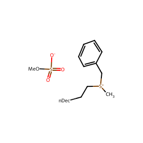 CCCCCCCCCCCC[S+](C)Cc1ccccc1.COS(=O)(=O)[O-]